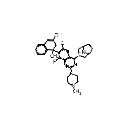 CN1CCN(c2nc(N3CC4CCC(C3)N4)c3cc(Cl)c(C4(C)CC(O)=Cc5ccccc54)c(F)c3n2)CC1